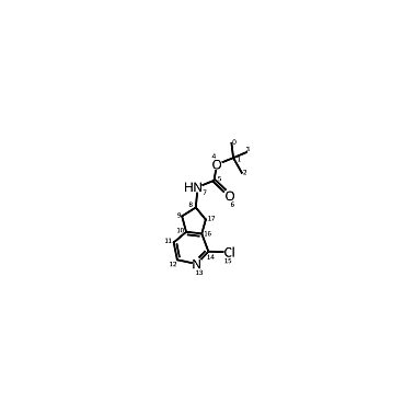 CC(C)(C)OC(=O)NC1Cc2ccnc(Cl)c2C1